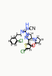 N#CNC(=NCCc1ccccc1Cl)N1CC(N2CCCC2=O)C(c2ccc(Cl)s2)=N1